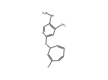 Cc1cc(OC2C=CC=CC(F)=C2)ncc1NN